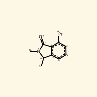 CC(C)c1cccc2c1C(=O)N(C)C2C